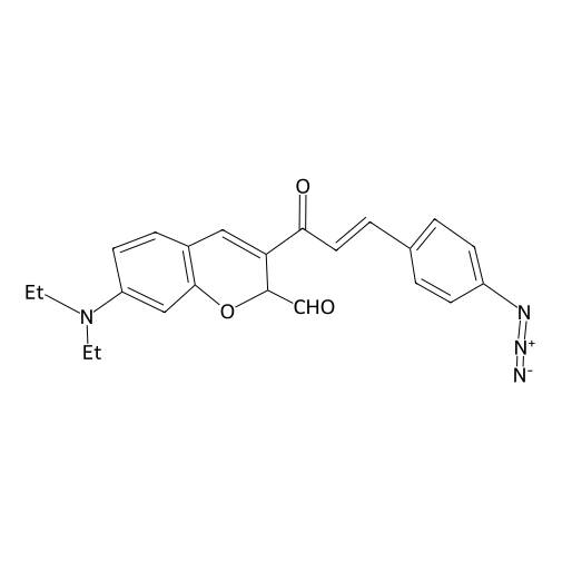 CCN(CC)c1ccc2c(c1)OC(C=O)C(C(=O)/C=C/c1ccc(N=[N+]=[N-])cc1)=C2